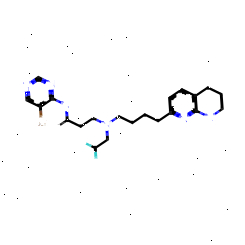 O=C(O)C(CCN(CCCCc1ccc2c(n1)NCCC2)CC(F)F)Nc1ncncc1Br